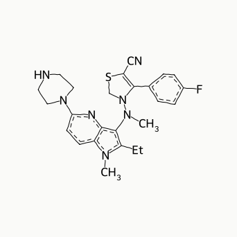 CCc1c(N(C)N2CSC(C#N)=C2c2ccc(F)cc2)c2nc(N3CCNCC3)ccc2n1C